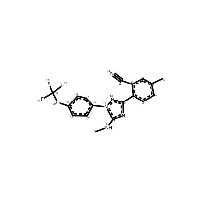 CNc1nc(-c2ccc(C)cc2C#N)nn1-c1ccc(OC(F)(F)F)cc1